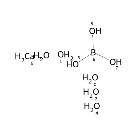 O.O.O.O.O.OB(O)O.[CaH2]